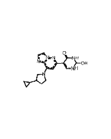 O=C1NC(O)NC=C1c1cc(N2CCC(C3CC3)C2)c2nccn2n1